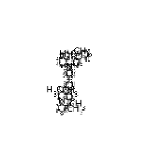 CC1(C)C=CN2c3ccccc3C(C)(C)c3ccc(-c4ccc(-c5ccc(N(c6ccc7c(c6)C(C)(C)c6ccccc6-7)c6cccc7ccccc67)cc5)cc4)c1c32